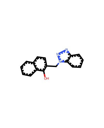 Oc1c(Cn2nnc3ccccc32)ccc2ccccc12